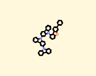 C1=C=Cc2c(c3ccc(-n4c5ccccc5c5cc(-n6c7ccccc7c7ccccc76)ccc54)cc3n2-c2cccc3oc4cc(-c5ccccc5)ccc4c23)C=1